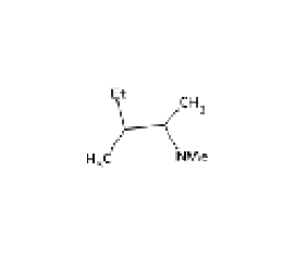 CCC(C)C(C)NC